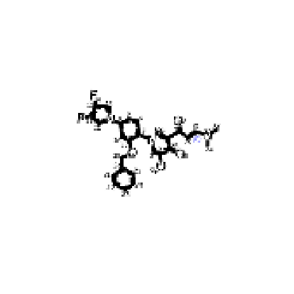 COc1cn(-c2ccc(-n3cc(F)c(F)c3)cc2OCc2ccccc2)nc(C(=O)/C=C/N(C)C)c1=O